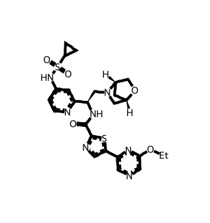 CCOc1cncc(-c2cnc(C(=O)N[C@H](CN3C[C@@H]4C[C@H]3CO4)c3cc(NS(=O)(=O)C4CC4)ccn3)s2)n1